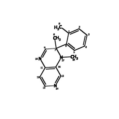 Cc1ccccc1C1(C)C=Nc2ccncc2N1C